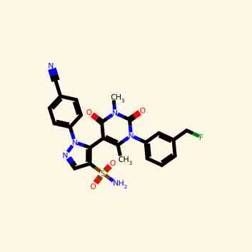 Cc1c(-c2c(S(N)(=O)=O)cnn2-c2ccc(C#N)cc2)c(=O)n(C)c(=O)n1-c1cccc(CF)c1